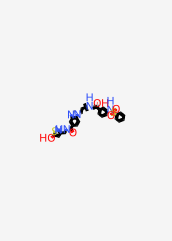 CC(C)(CCn1cnc2cc(C(=O)NCc3cc(O)sn3)ccc21)NC[C@H](O)c1cccc(NS(=O)(=O)c2ccccc2)c1